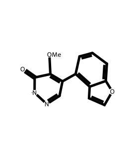 COC1=C(c2cccc3occc23)C=N[N]C1=O